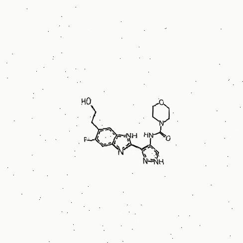 O=C(Nc1c[nH]nc1-c1nc2cc(F)c(CCO)cc2[nH]1)N1CCOCC1